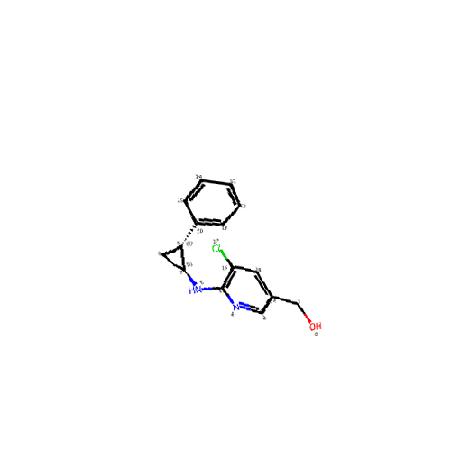 OCc1cnc(N[C@H]2C[C@@H]2c2ccccc2)c(Cl)c1